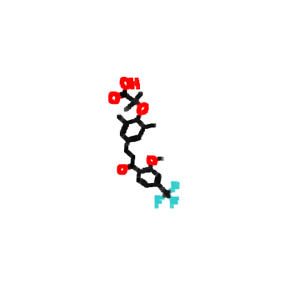 COc1cc(C(F)(F)F)ccc1C(=O)CCC1=CC(C)C(OC(C)(C)C(=O)O)C(C)=C1